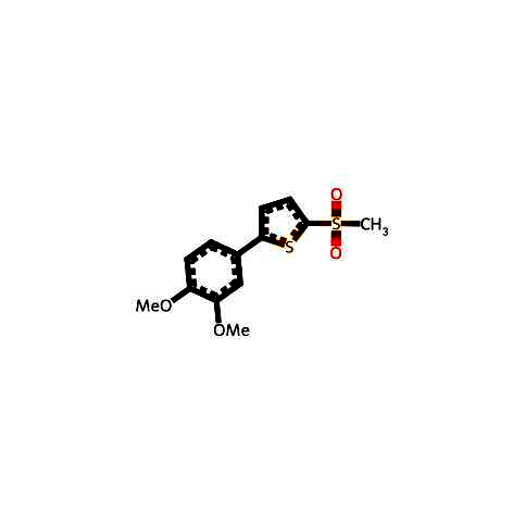 COc1ccc(-c2ccc(S(C)(=O)=O)s2)cc1OC